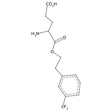 NC(CCC(=O)O)C(=O)OCCc1cccc(C(F)(F)F)c1